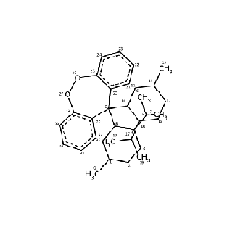 CC1CCC(C(C)C)C(C2(C3CC(C)CCC3C(C)C)c3ccccc3OOc3ccccc32)C1